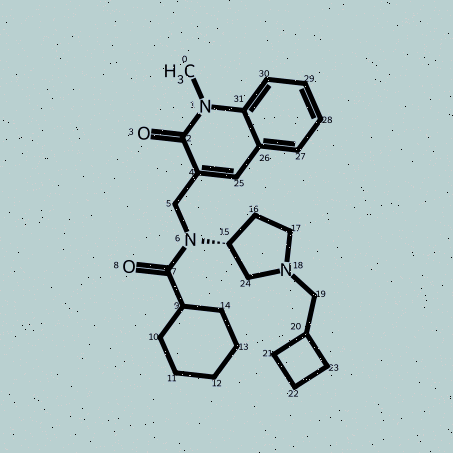 Cn1c(=O)c(CN(C(=O)C2CCCCC2)[C@@H]2CCN(CC3CCC3)C2)cc2ccccc21